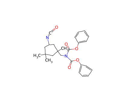 CC1(C)CC(N=C=O)CC(C)(CN(C(=O)Oc2ccccc2)C(=O)Oc2ccccc2)C1